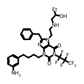 CCC(O)CNCCn1c(Cc2ccccc2)nc2c1c(=O)n(C(F)(F)C(F)(F)C(F)(F)F)c(=O)n2CCCCc1cccc(N)c1